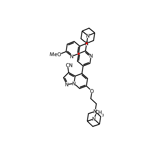 COc1ccc(CN2C3CC2CN(c2ccc(-c4cc(OCCN5CC6CC(C5)N6C)cn5ncc(C#N)c45)cn2)C3)cn1